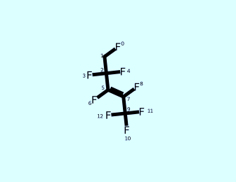 FCC(F)(F)C(F)=C(F)C(F)(F)F